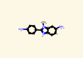 Cn1c(-c2ccc(N)cc2)nc2ccc(N)cc21